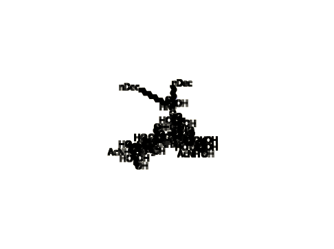 CCCCCCCCCCCCC/C=C/[C@@H](O)[C@H](CO[C@@H]1OC(CO)[C@@H](O[C@@H]2OC(CO[C@@H]3OC(CO)[C@@H](O[C@@H]4OC(CO)[C@H](O)[C@H](O[C@]5(C(=O)O)CC(O)[C@@H](NC(C)=O)C([C@H](O)[C@H](O)CO)O5)C4O)[C@H](O)C3NC(C)=O)[C@H](O)[C@H](O[C@H]3OC(CO)[C@H](O)[C@H](O[C@@H]4OC(CO)[C@H](O)[C@H](O)C4NC(C)=O)C3O)C2O)[C@H](O)C1O)NC(=O)CCCCCCCCCCCCCCCCCCC